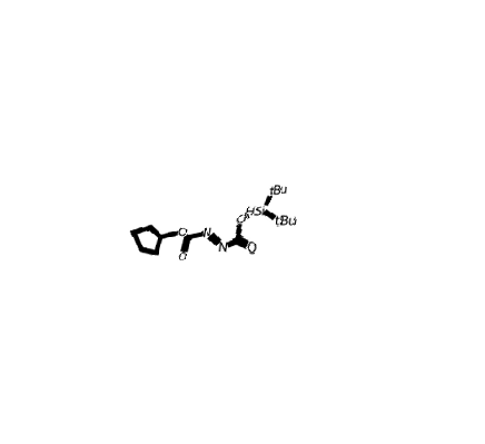 CC(C)(C)[SiH](OC(=O)N=NC(=O)OC1CCCC1)C(C)(C)C